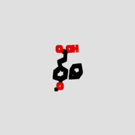 C1=CC2CCC1C2.COc1ccc(C=CC(=O)O)cc1